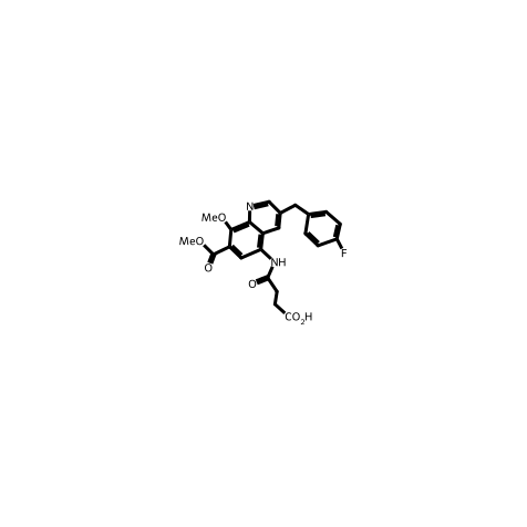 COC(=O)c1cc(NC(=O)CCC(=O)O)c2cc(Cc3ccc(F)cc3)cnc2c1OC